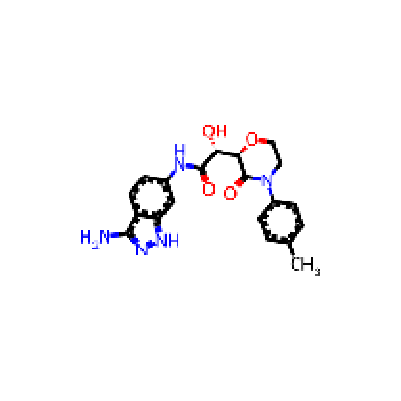 Cc1ccc(N2CCO[C@H]([C@@H](O)C(=O)Nc3ccc4c(N)n[nH]c4c3)C2=O)cc1